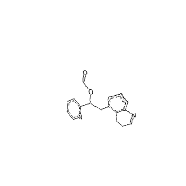 O=COC(Cc1cccc2c1CCC=N2)c1ccccn1